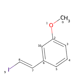 COc1cccc(C=CI)c1